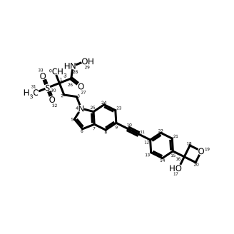 CC(CCn1ccc2cc(C#Cc3ccc(C4(O)COC4)cc3)ccc21)(C(=O)NO)S(C)(=O)=O